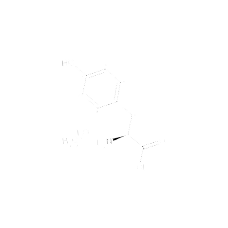 N[C@@H](Cc1ccc(O)cc1)C(=O)O.O.O